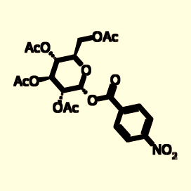 CC(=O)OC[C@H]1O[C@H](OC(=O)c2ccc([N+](=O)[O-])cc2)[C@H](OC(C)=O)[C@@H](OC(C)=O)[C@@H]1OC(C)=O